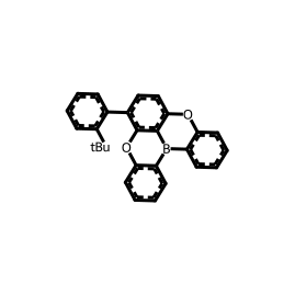 CC(C)(C)c1ccccc1-c1ccc2c3c1Oc1ccccc1B3c1ccccc1O2